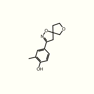 Cc1cc(C2=NOC3(CCOC3)C2)ccc1O